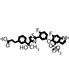 CC(O)(c1cccc(CCC(=O)O)c1)c1csc(-c2cc(Oc3c(F)cc4[nH]ccc4c3S(C)(=O)=O)ccc2F)n1